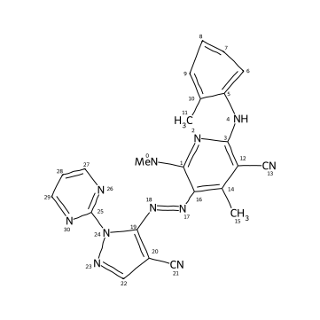 CNc1nc(Nc2ccccc2C)c(C#N)c(C)c1/N=N/c1c(C#N)cnn1-c1ncccn1